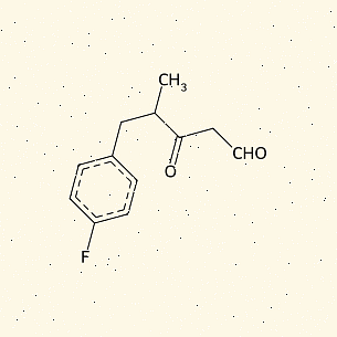 CC(Cc1ccc(F)cc1)C(=O)CC=O